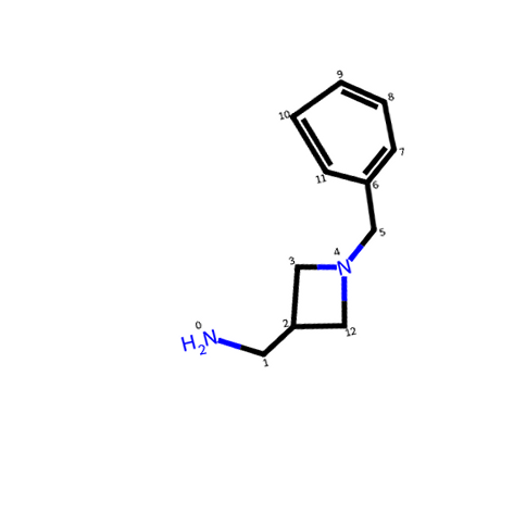 NCC1CN(Cc2ccccc2)C1